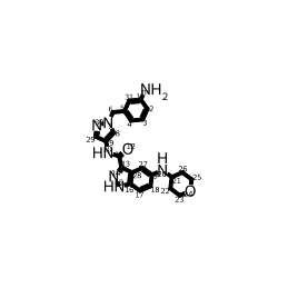 Nc1cccc(Cn2cc(NC(=O)c3n[nH]c4ccc(NC5CCOCC5)cc34)cn2)c1